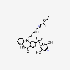 CCOC(=O)/C=C/CNCCCN1c2ccccc2NC(=O)c2ccc(C(F)(F)F)cc21.O=C(O)/C=C\C(=O)O